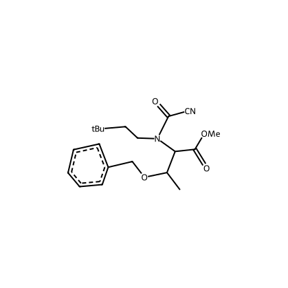 COC(=O)C(C(C)OCc1ccccc1)N(CCC(C)(C)C)C(=O)C#N